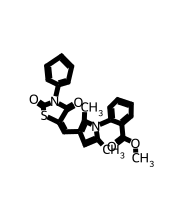 COC(=O)c1ccccc1-n1c(C)cc(C=C2SC(=O)N(c3ccccc3)C2=O)c1C